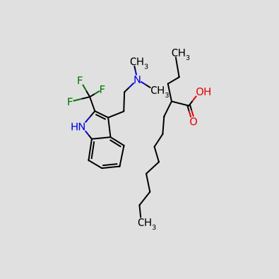 CCCCCCCCC(CCC)C(=O)O.CN(C)CCc1c(C(F)(F)F)[nH]c2ccccc12